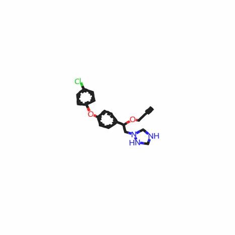 C#CCOC(CN1CNCN1)c1ccc(Oc2ccc(Cl)cc2)cc1